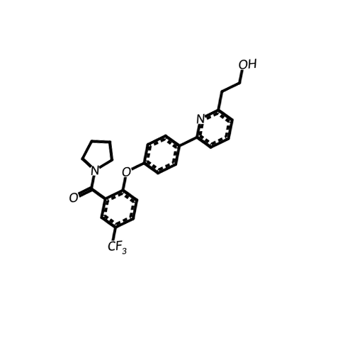 O=C(c1cc(C(F)(F)F)ccc1Oc1ccc(-c2cccc(CCO)n2)cc1)N1CCCC1